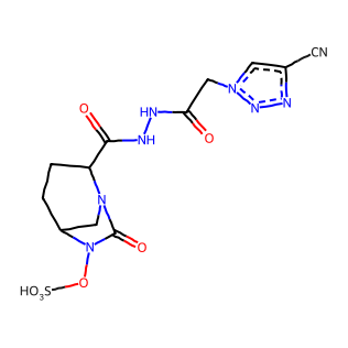 N#Cc1cn(CC(=O)NNC(=O)C2CCC3CN2C(=O)N3OS(=O)(=O)O)nn1